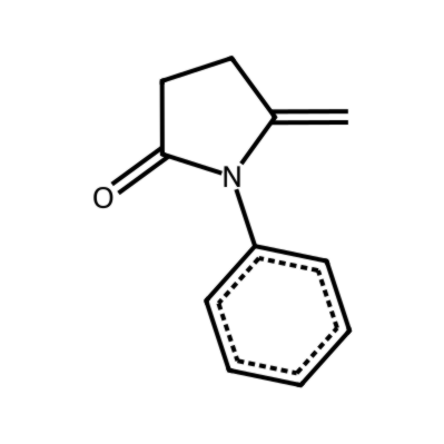 C=C1CCC(=O)N1c1ccccc1